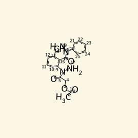 CC(=O)OCC(=O)N(N)c1cccc(C)c1C(=O)N(N)c1ccccc1